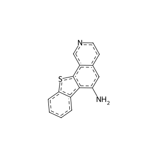 Nc1cc2ccncc2c2sc3ccccc3c12